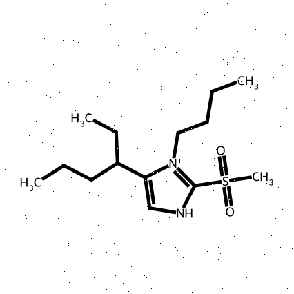 CCCC[n+]1c(C(CC)CCC)c[nH]c1S(C)(=O)=O